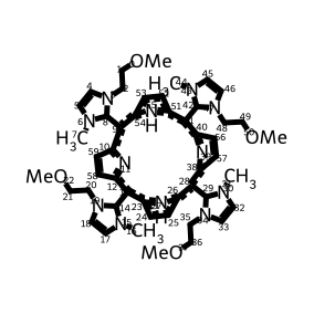 COCCN1C=CN(C)C1c1c2nc(c(C3N(C)C=CN3CCOC)c3ccc([nH]3)c(C3N(C)C=CN3CCOC)c3nc(c(C4N(C)C=CN4CCOC)c4ccc1[nH]4)C=C3)C=C2